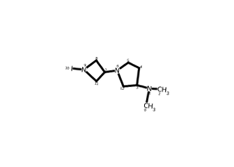 CN(C)C1CCN(C2CN(I)C2)C1